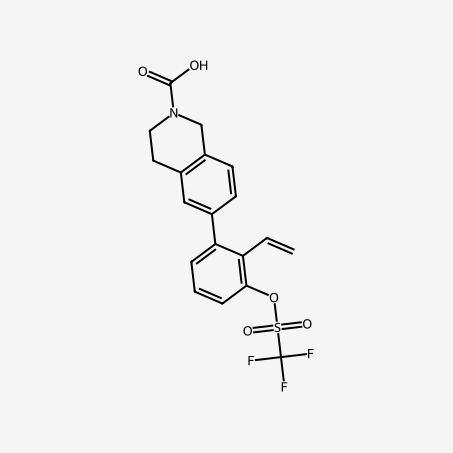 C=Cc1c(OS(=O)(=O)C(F)(F)F)cccc1-c1ccc2c(c1)CCN(C(=O)O)C2